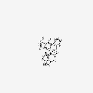 CC(=O)c1c[nH]c2ncnc(N3CCC[C@H]3c3nn4ccc(Cl)c4c(=O)n3-c3ccccn3)c12